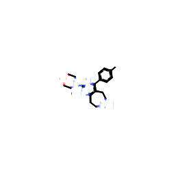 Cc1ccc(-c2nc(N3CCOC[C@@H]3C)nc3c2CCNCC3)cc1